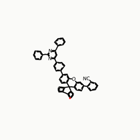 N#Cc1ccccc1-c1ccc2c(c1)Oc1cc(-c3ccc(-c4cc(-c5ccccc5)nc(-c5ccccc5)n4)cc3)ccc1C21c2ccccc2-c2ccccc21